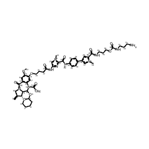 C=C1CC2C(OC3CCCCO3)N(C(=O)O)c3cc(OCCCC(=O)Nc4cn(C)c(C(=O)Nc5ccc(-c6cc(C(=O)NCCCOC(=O)NCCCN)n(C)c6)cc5)n4)c(OC)cc3C(=O)N2C1